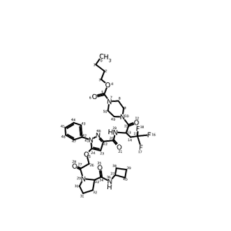 CCCCOC(=O)N1CCN(C(=O)C(CC(F)(F)F)NC(=O)c2cc(OCC(=O)N3CCCC3C(=O)NC3CCC3)n(-c3ccccc3)n2)CC1